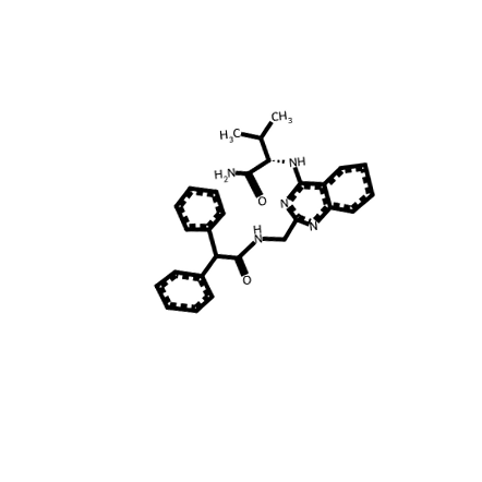 CC(C)[C@H](Nc1nc(CNC(=O)C(c2ccccc2)c2ccccc2)nc2ccccc12)C(N)=O